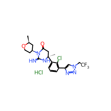 C[C@H]1C[C@@H](N2C(=N)N[C@](C)(c3cccc(-c4cn(CC(F)(F)F)nn4)c3Cl)CC2=O)CCO1.Cl